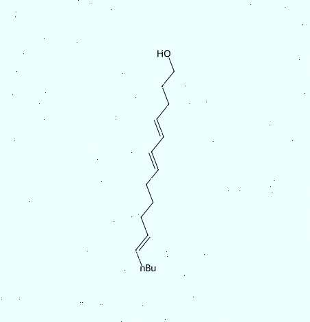 CCCCC=CCCCC=CC=CCCCO